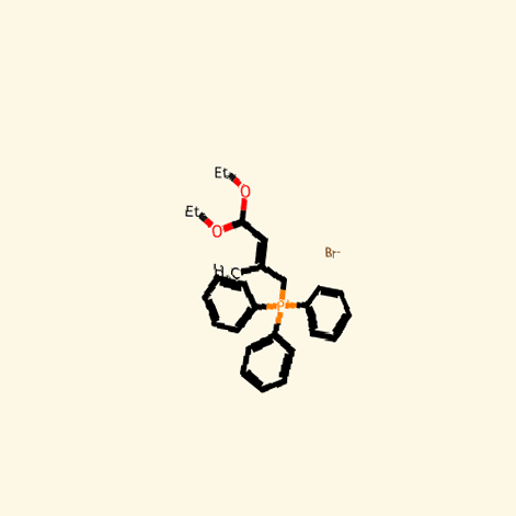 CCOC(/C=C(\C)C[P+](c1ccccc1)(c1ccccc1)c1ccccc1)OCC.[Br-]